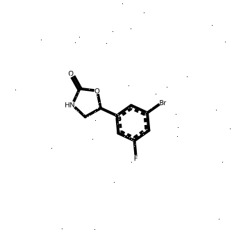 O=C1NCC(c2cc(F)cc(Br)c2)O1